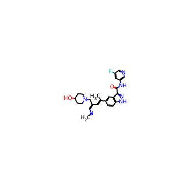 C=N/C=C(\C=C(/C)c1ccc2[nH]nc(C(=O)Nc3cncc(F)c3)c2c1)CN1CCC(O)CC1